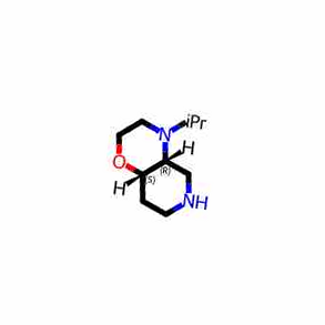 CC(C)N1CCO[C@H]2CCNC[C@H]21